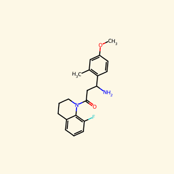 COc1ccc(C(N)CC(=O)N2CCCc3cccc(F)c32)c(C)c1